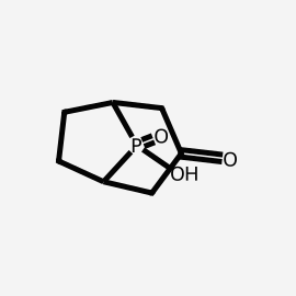 O=C1CC2CCC(C1)P2(=O)O